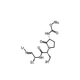 CC[C@@H](/C=[N]/[Lr])NC(=O)[C@H](CC(C)C)N1CC[C@@H](NC(=O)OC(C)(C)C)C1=O